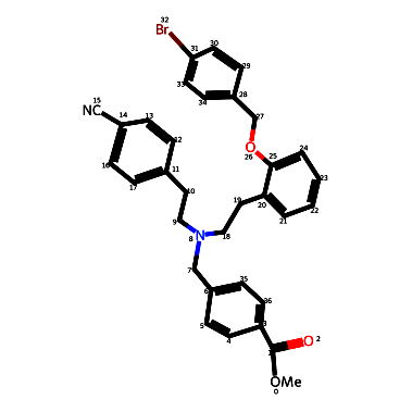 COC(=O)c1ccc(CN(CCc2ccc(C#N)cc2)CCc2ccccc2OCc2ccc(Br)cc2)cc1